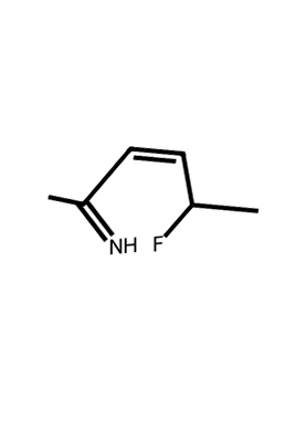 CC(=N)/C=C\C(C)F